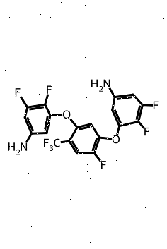 Nc1cc(F)c(F)c(Oc2cc(Oc3cc(N)cc(F)c3F)c(C(F)(F)F)cc2F)c1